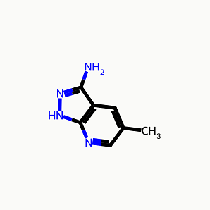 Cc1cnc2[nH]nc(N)c2c1